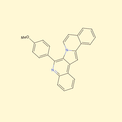 COc1ccc(-c2nc3ccccc3c3cc4c5ccccc5ccn4c23)cc1